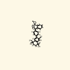 COC(=O)c1ccccc1C(=O)c1ccc(-c2cc3c(cc2C)C(C)(C)CCC3(C)C)cc1